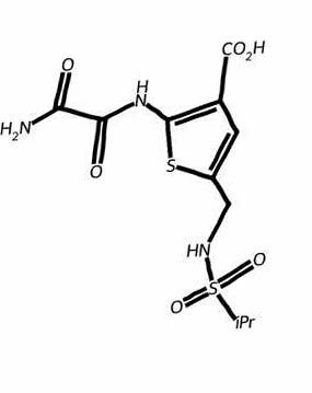 CC(C)S(=O)(=O)NCc1cc(C(=O)O)c(NC(=O)C(N)=O)s1